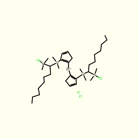 CCCCCCCC([Si](C)(C)Cl)[Si](C)(C)C1=[C]([Zr+2][C]2=C([Si](C)(C)C(CCCCCCC)[Si](C)(C)Cl)C=CC2)CC=C1.[Cl-].[Cl-]